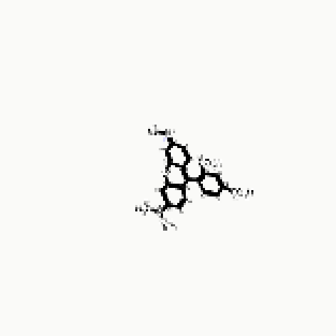 CC/N=c1/ccc2c(-c3ccc(C(=O)O)cc3C(=O)O)c3ccc(N(C)C)cc3oc-2c1